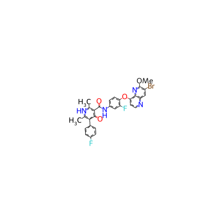 COc1nc2c(Oc3ccc(NC(=O)c4c(C)[nH]c(C)c(-c5ccc(F)cc5)c4=O)cc3F)ccnc2cc1Br